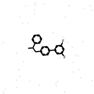 CC(Cc1ccc(-c2cc(F)cc(F)c2)cc1)c1ccccc1